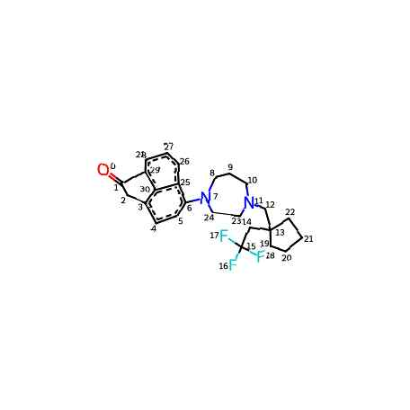 O=C1Cc2ccc(N3CCCN(CC4(CC(F)(F)F)CCCC4)CC3)c3cccc1c23